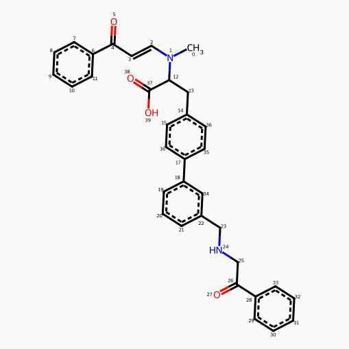 CN(C=CC(=O)c1ccccc1)C(Cc1ccc(-c2cccc(CNCC(=O)c3ccccc3)c2)cc1)C(=O)O